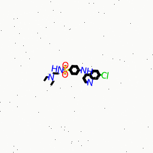 CCN(CC)CCNS(=O)(=O)c1ccc(Nc2ccnc3cc(Cl)ccc23)cc1